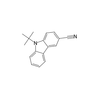 CC(C)(C)n1c2ccccc2c2cc(C#N)ccc21